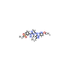 COc1ccc(-n2nc(C)c(C)c2Nc2ccnc(Nc3cccc(S(C)(=O)=O)c3)n2)cn1